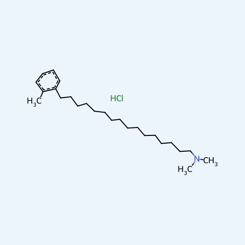 Cc1ccccc1CCCCCCCCCCCCCCCCN(C)C.Cl